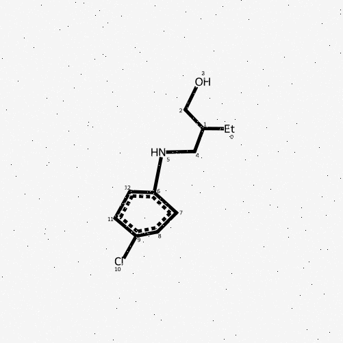 CCC(CO)CNc1ccc(Cl)cc1